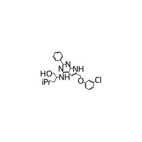 CC(C)CC(CO)Nc1nc(-c2ccccc2)nc2[nH]c(COc3cccc(Cl)c3)cc12